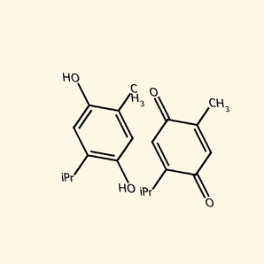 CC1=CC(=O)C(C(C)C)=CC1=O.Cc1cc(O)c(C(C)C)cc1O